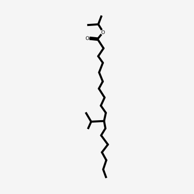 CCCCCCCC(CCCCCCCCCC(=O)OC(C)C)C(C)C